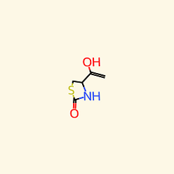 C=C(O)C1CSC(=O)N1